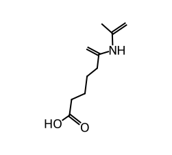 C=C(C)NC(=C)CCCCC(=O)O